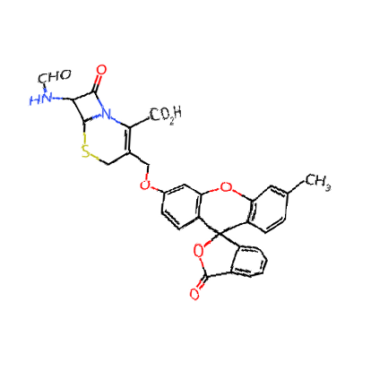 Cc1ccc2c(c1)Oc1cc(OCC3=C(C(=O)O)N4C(=O)C(NC=O)C4SC3)ccc1C21OC(=O)c2ccccc21